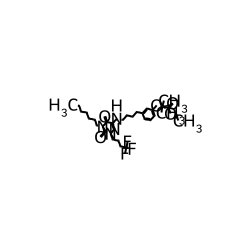 CCCCCCCn1c(=O)c(NCCCCc2cccc(OC(C)(C)C(=O)OCC)c2)nn(CCCC(F)(F)F)c1=O